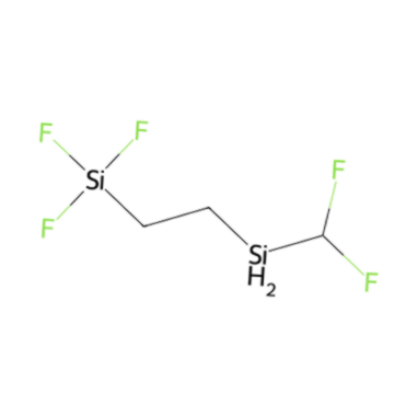 FC(F)[SiH2]CC[Si](F)(F)F